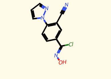 N#Cc1cc(C(Cl)=NO)ccc1-n1cccn1